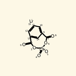 O=C1OS(=O)(=O)OC(=O)c2cccc1c2.[Li]